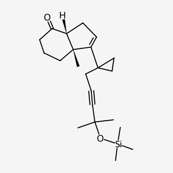 CC(C)(C#CCC1(C2=CC[C@H]3C(=O)CCC[C@@]23C)CC1)O[Si](C)(C)C